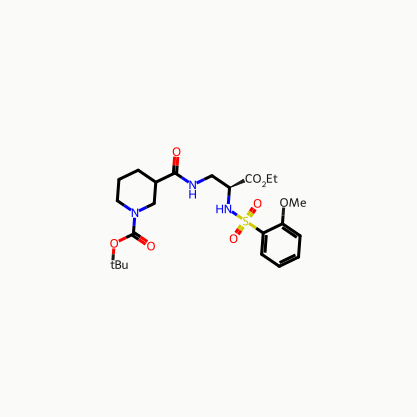 CCOC(=O)[C@H](CNC(=O)C1CCCN(C(=O)OC(C)(C)C)C1)NS(=O)(=O)c1ccccc1OC